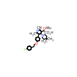 Cc1nc(C#N)c(C(OC(C)(C)C)C(=O)O)c(N2CCC(C)(C)CC2)c1-c1ccc(OCCc2ccc(F)cc2)cc1